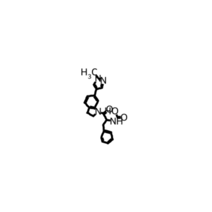 Cn1cc(-c2ccc3c(c2)N(C(=O)C(Cc2ccccc2)NC(=O)O)CC3)cn1